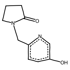 O=C1CCCN1Cc1ccc(O)cn1